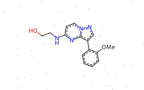 COc1ccccc1-c1cnn2ccc(NCCO)nc12